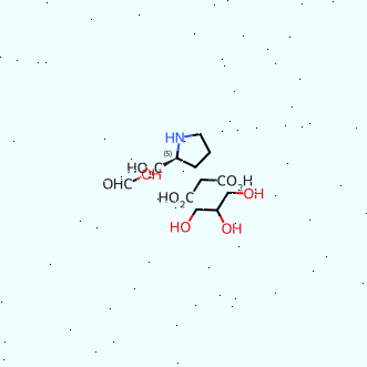 O=C(O)CC(=O)O.O=C(O)[C@@H]1CCCN1.O=CO.OCC(O)CO